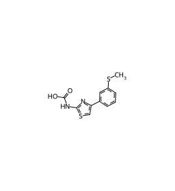 CSc1cccc(-c2csc(NC(=O)O)n2)c1